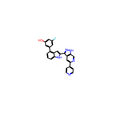 Oc1cc(F)cc(-c2cccc3[nH]c(-c4n[nH]c5cnc(-c6ccncc6)cc45)cc23)c1